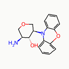 N[C@H]1COC[C@@H](N2c3ccccc3Oc3ccccc32)[C@@H]1O